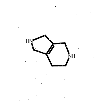 C1CC2=C(CN1)CNC2